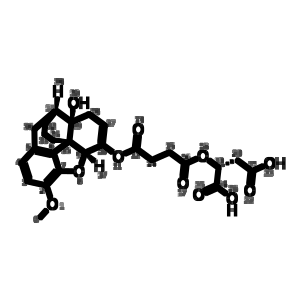 COc1ccc2c3c1O[C@H]1C(OC(=O)CCC(=O)O[C@H](CC(=O)O)C(=O)O)=CC[C@@]4(O)[C@H](CCC[C@]314)C2